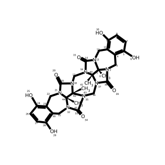 C[C@]12N3Cc4c(O)ccc(O)c4CN1C(=O)N1CN4C(=O)N5Cc6c(O)ccc(O)c6CN6C(=O)N(CN(C3=O)[C@]12C)[C@]4(C)[C@@]56C